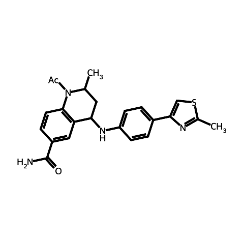 CC(=O)N1c2ccc(C(N)=O)cc2C(Nc2ccc(-c3csc(C)n3)cc2)CC1C